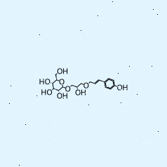 OC[C@H]1O[C@@H](OCC(O)COCC=Cc2ccc(O)cc2)[C@H](O)[C@@H](O)[C@@H]1O